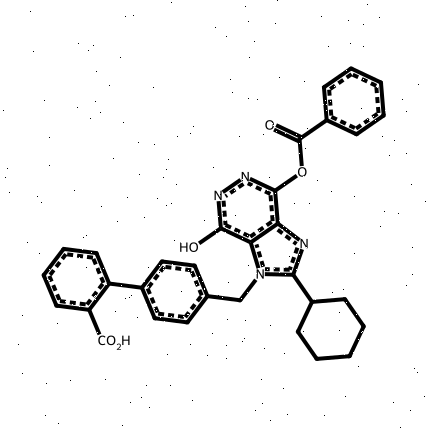 O=C(Oc1nnc(O)c2c1nc(C1CCCCC1)n2Cc1ccc(-c2ccccc2C(=O)O)cc1)c1ccccc1